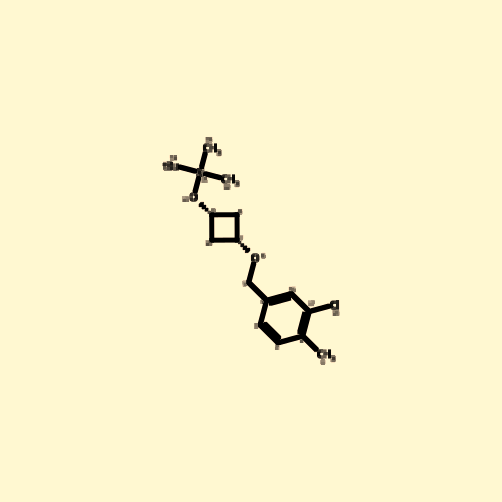 Cc1ccc(CO[C@H]2C[C@@H](O[Si](C)(C)C(C)(C)C)C2)cc1Cl